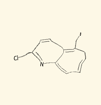 Clc1ccc2c(I)cccc2n1